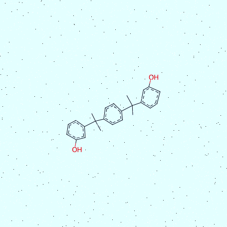 CC(C)(c1ccc(C(C)(C)c2cccc(O)c2)cc1)c1cccc(O)c1